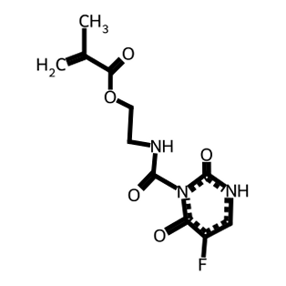 C=C(C)C(=O)OCCNC(=O)n1c(=O)[nH]cc(F)c1=O